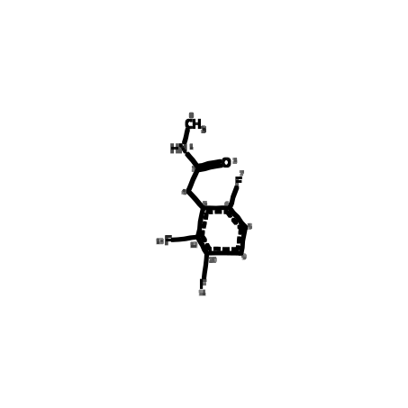 CNC(=O)Cc1c(F)ccc(F)c1F